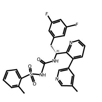 Cc1cncc(-c2cccnc2[C@@H](Cc2cc(F)cc(F)c2)NC(=O)NS(=O)(=O)c2ccccc2C)c1